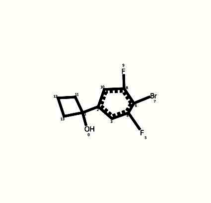 OC1(c2cc(F)c(Br)c(F)c2)CCC1